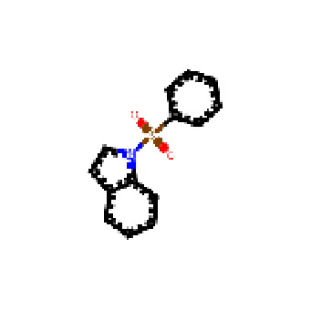 O=S(=O)(c1ccccc1)n1ccc2c[c]ccc21